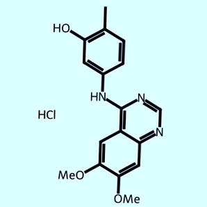 COc1cc2ncnc(Nc3ccc(C)c(O)c3)c2cc1OC.Cl